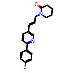 O=C1CCCCN1CC=Cc1ccc(-c2ccc(F)cc2)nc1